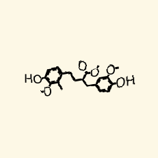 COC(=O)C(CCc1ccc(O)c(OC)c1C)Cc1ccc(O)c(OC)c1